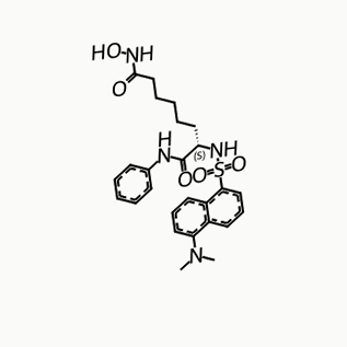 CN(C)c1cccc2c(S(=O)(=O)N[C@@H](CCCCCC(=O)NO)C(=O)Nc3ccccc3)cccc12